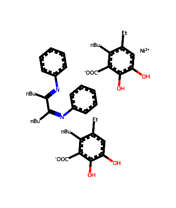 CCCCC(=Nc1ccccc1)C(CCCC)=Nc1ccccc1.CCCCc1c(CC)cc(O)c(O)c1C(=O)[O-].CCCCc1c(CC)cc(O)c(O)c1C(=O)[O-].[Ni+2]